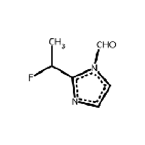 CC(F)c1nccn1C=O